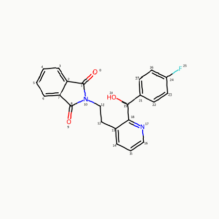 O=C1c2ccccc2C(=O)N1CCc1cccnc1C(O)c1ccc(F)cc1